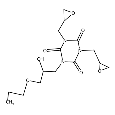 CCCOCC(O)Cn1c(=O)n(CC2CO2)c(=O)n(CC2CO2)c1=O